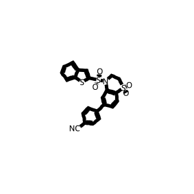 N#Cc1ccc(-c2ccc3c(c2)N(S(=O)(=O)c2cc4ccccc4s2)CCS3(=O)=O)cc1